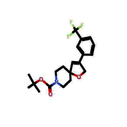 CC(C)(C)OC(=O)N1CCC2(C=C(c3cccc(C(F)(F)F)c3)CO2)CC1